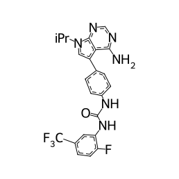 CC(C)n1cc(-c2ccc(NC(=O)Nc3cc(C(F)(F)F)ccc3F)cc2)c2c(N)ncnc21